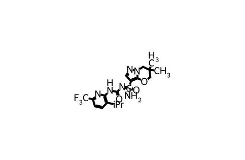 CC(C)c1ccc(C(F)(F)F)nc1NC(=O)N=[S@](N)(=O)c1cnn2c1OCC(C)(C)C2